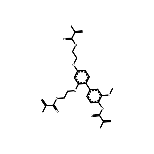 C=C(C)C(=O)OCCOc1ccc(-c2ccc(OC(=O)C(=C)C)c(SC)c2)c(OCCOC(=O)C(=C)C)c1